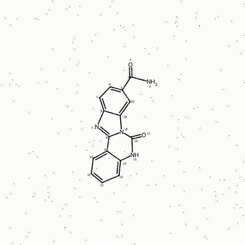 NC(=O)c1ccc2nc3c4ccccc4[nH]c(=O)n3c2c1